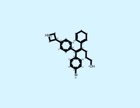 OCCC/C(C1=CCCC=C1)=C(\c1ccc(Br)cc1)c1ccc(C2CNC2)cc1